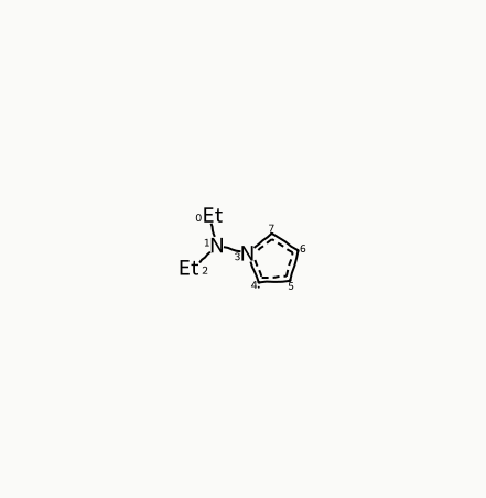 CCN(CC)n1[c]ccc1